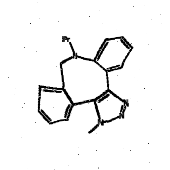 CC(C)N1Cc2ccccc2-c2c(nnn2C)-c2ccccc21